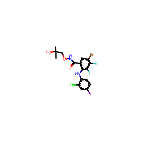 CC(C)(O)CONC(=O)c1cc(Br)c(F)c(F)c1Nc1ccc(I)cc1Cl